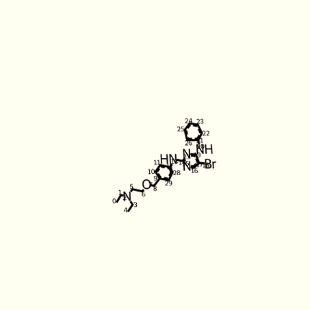 CCN(CC)CCOCc1ccc(Nc2ncc(Br)c(Nc3ccccc3)n2)cc1